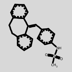 CS(=O)(=O)Nc1ccc(C=C2c3ccccc3CCc3ccccc32)cc1